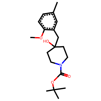 COc1ccc(C)cc1CC1(O)CCN(C(=O)OC(C)(C)C)CC1